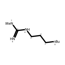 CCCCCCCNC(=N)NC